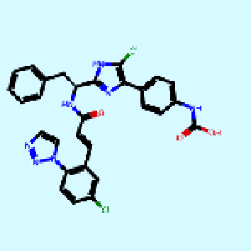 O=C(O)Nc1ccc(-c2nc([C@H](Cc3ccccc3)NC(=O)/C=C/c3cc(Cl)ccc3-n3ccnn3)[nH]c2Cl)cc1